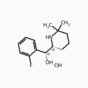 CC1(C)CCC[C@H]([C@H](O)c2ccccc2F)N1.Cl